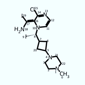 CN1CCN(C2CC([C@H](I)N3C=CN=C(Cl)/C3=C(/N)I)C2)CC1